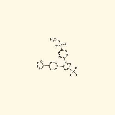 CCS(=O)(=O)c1ccc(-n2nc(C(F)(F)F)cc2-c2ccc(-c3ccco3)cc2)nc1